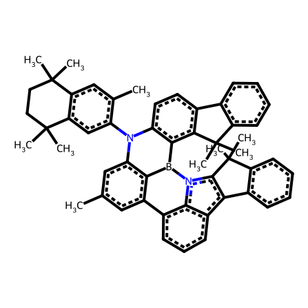 Cc1cc2c3c(c1)N(c1cc4c(cc1C)C(C)(C)CCC4(C)C)c1ccc4c(c1B3n1c3c(c5cccc-2c51)-c1ccccc1C3(C)C)C(C)(C)c1ccccc1-4